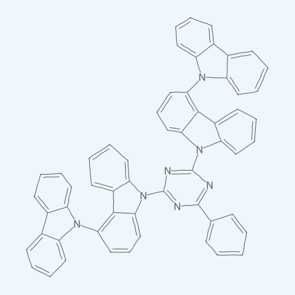 c1ccc(-c2nc(-n3c4ccccc4c4c(-n5c6ccccc6c6ccccc65)cccc43)nc(-n3c4ccccc4c4c(-n5c6ccccc6c6ccccc65)cccc43)n2)cc1